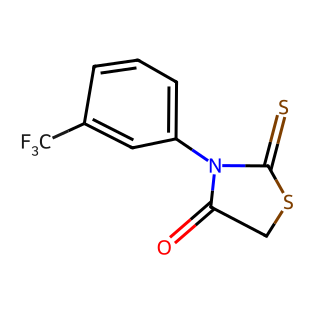 O=C1CSC(=S)N1c1cccc(C(F)(F)F)c1